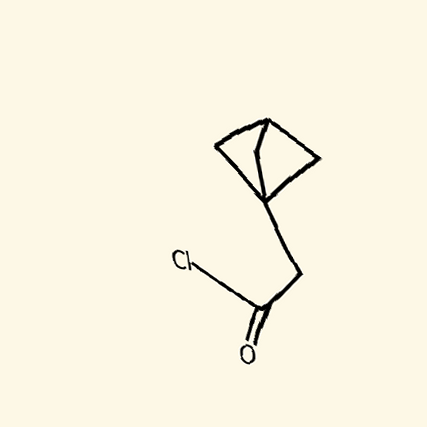 O=C(Cl)CC12CC(C1)C2